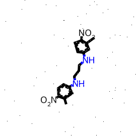 Cc1cc(NCCCNc2ccc([N+](=O)[O-])c(C)c2)ccc1[N+](=O)[O-]